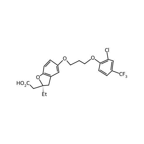 CC[C@@]1(CC(=O)O)Cc2cc(OCCCOc3ccc(C(F)(F)F)cc3Cl)ccc2O1